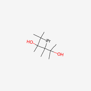 CC(C)C(C)(C)C(C)(O)C(C)(C)C(C)(C)O